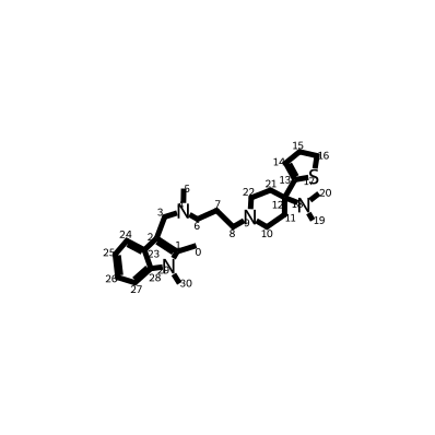 Cc1c(CN(C)CCCN2CCC(C3=CCCS3)(N(C)C)CC2)c2ccccc2n1C